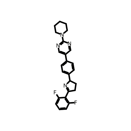 Fc1cccc(F)c1C1=NC(c2ccc(-c3cnc(N4CCCCC4)nc3)cc2)CC1